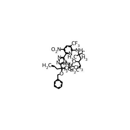 C=CC[C@@](OCc1ccccc1)(c1nnc(-c2nc(NC(C)(C)CC(C=C)O[Si](C)(C)C(C)(C)C)c(C(F)(F)F)cc2[N+](=O)[O-])o1)C(F)(F)F